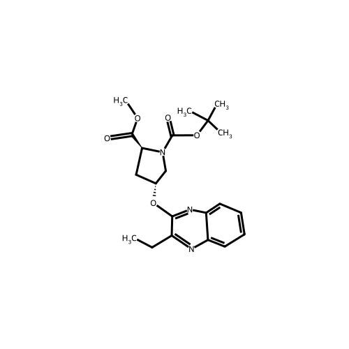 CCc1nc2ccccc2nc1O[C@@H]1C[C@@H](C(=O)OC)N(C(=O)OC(C)(C)C)C1